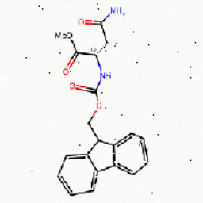 COC(=O)[C@H](CC(N)=O)NC(=O)OCC1c2ccccc2-c2ccccc21